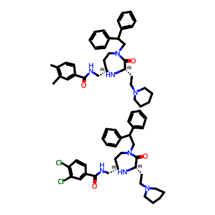 Cc1ccc(C(=O)NC[C@@H]2CCN(CC(c3ccccc3)c3ccccc3)C(=O)[C@H](CCN3CCCCC3)N2)cc1C.O=C(NC[C@@H]1CCN(CC(c2ccccc2)c2ccccc2)C(=O)[C@H](CCN2CCCCC2)N1)c1ccc(Cl)c(Cl)c1